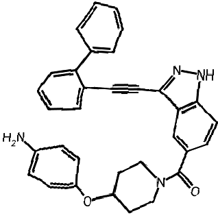 Nc1ccc(OC2CCN(C(=O)c3ccc4[nH]nc(C#Cc5ccccc5-c5ccccc5)c4c3)CC2)cc1